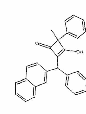 CC1(c2ccccc2)C(=O)C(C(c2ccccc2)c2ccc3ccccc3c2)=C1O